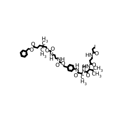 CC(C)[C@H](NC(=O)CCNC(=O)CI)C(=O)N[C@@H](C)C(=O)Nc1ccc(COC(=O)NCCNC(=O)OCC(C)(C)CCC(=O)OCc2ccccc2)cc1